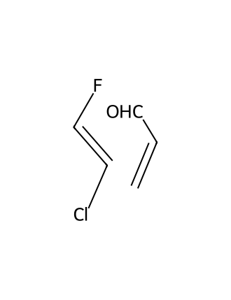 C=CC=O.FC=CCl